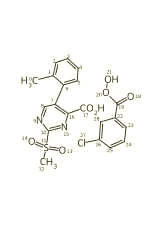 Cc1ccccc1-c1cnc(S(C)(=O)=O)nc1C(=O)O.O=C(OO)c1cccc(Cl)c1